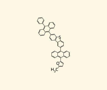 Cc1ccc(-c2c3ccccc3c(-c3ccc4sc5cc(-c6c7ccccc7c(-c7ccccc7)c7ccccc67)ccc5c4c3)c3ccccc23)o1